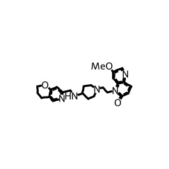 COc1cnc2ccc(=O)n(CCN3CCC(NCc4cc5c(cn4)CCCO5)CC3)c2c1